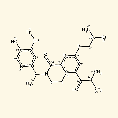 CCOc1cc(C(C)N2CCc3c(C(=O)C(C)C(F)(F)F)cc(CCN(C)CC)cc3C2=O)ncc1C#N